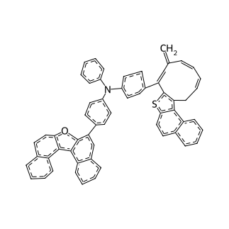 C=C1/C=C\C=C/Cc2c(sc3ccc4ccccc4c23)/C(c2ccc(N(c3ccccc3)c3ccc(-c4cc5ccccc5c5c4oc4ccc6ccccc6c45)cc3)cc2)=C\1